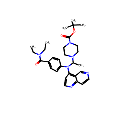 CCN(CC)C(=O)c1ccc(N(c2ccnc3ccncc23)C(C)N2CCN(C(=O)OC(C)(C)C)CC2)cc1